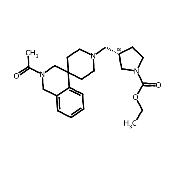 CCOC(=O)N1CC[C@@H](CN2CCC3(CC2)CN(C(C)=O)Cc2ccccc23)C1